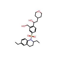 CCc1ccc2c(c1)CCC(CC)N2S(=O)(=O)c1ccc(C(O)CC2CCOCC2)c(CO)c1